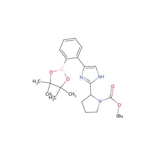 CC(C)(C)OC(=O)N1CCCC1c1nc(-c2ccccc2B2OC(C)(C)C(C)(C)O2)c[nH]1